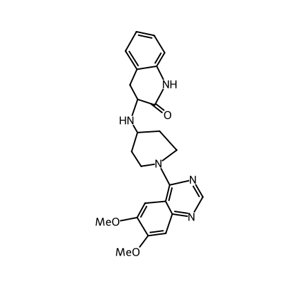 COc1cc2ncnc(N3CCC(NC4Cc5ccccc5NC4=O)CC3)c2cc1OC